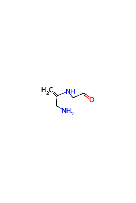 C=C(CN)NCC=O